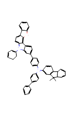 CC1(C)c2cc(N(c3ccc(-c4ccccc4)cc3)c3ccc(-c4ccc5c6c7oc8ccccc8c7ccc6n(C6=CC=CCC6)c5c4)cc3)ccc2C2C=CC=CC21